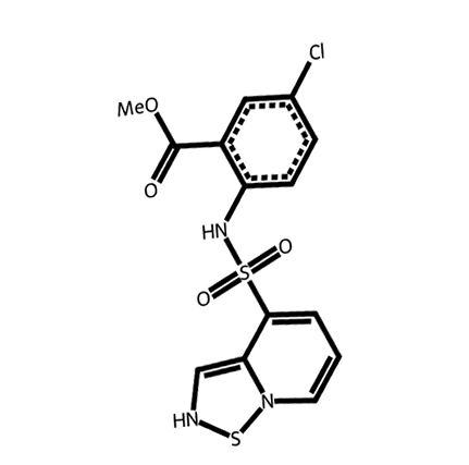 COC(=O)c1cc(Cl)ccc1NS(=O)(=O)C1=CC=CN2SNC=C12